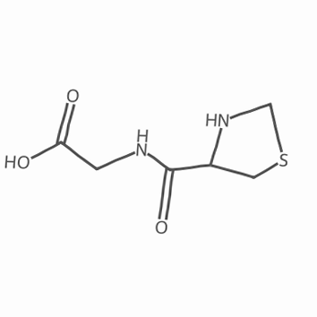 O=C(O)CNC(=O)C1CSCN1